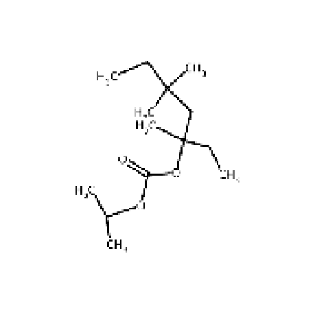 CCC(C)(C)CC(C)(CC)OC(=O)OC(C)C